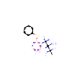 CC(N)(N)C(N)(N)C(N)(N)n1[pH][nH]pnp1Oc1ccccc1